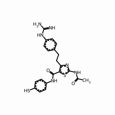 CC(=O)Nc1nc(CCc2ccc(NC(=N)N)cc2)c(C(=O)Nc2ccc(S)cc2)s1